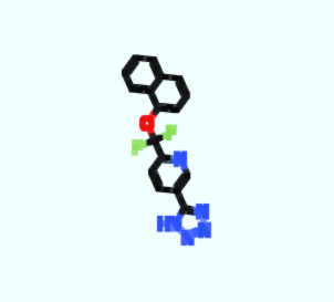 FC(F)(Oc1cccc2ccccc12)c1ccc(-c2nnn[nH]2)cn1